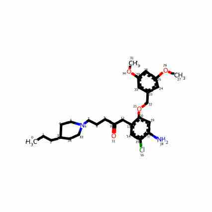 CCCC1CCN(CCCC(=O)Cc2cc(Cl)c(N)cc2OCc2cc(OC)cc(OC)c2)CC1